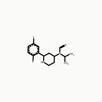 CC(C)N(C=O)C1CCNC(c2cc(F)ccc2F)C1